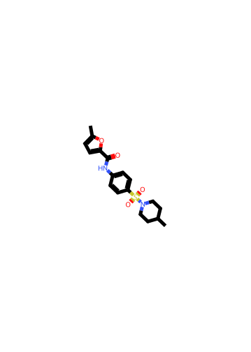 Cc1ccc(C(=O)Nc2ccc(S(=O)(=O)N3CCC(C)CC3)cc2)o1